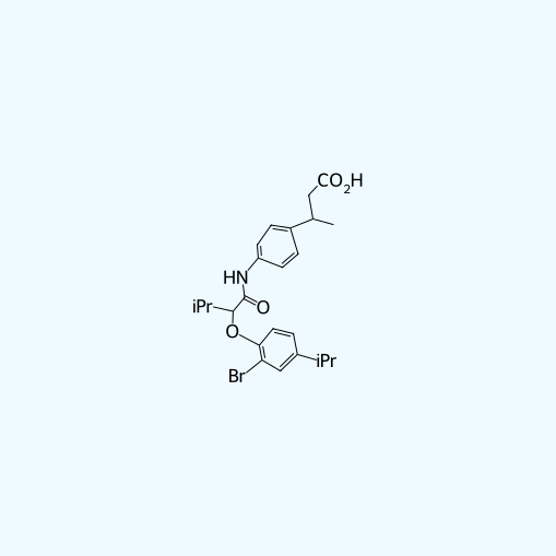 CC(C)c1ccc(OC(C(=O)Nc2ccc(C(C)CC(=O)O)cc2)C(C)C)c(Br)c1